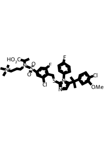 COc1cc(C(C)(C)c2cnc(SCc3c(F)cc(S(=O)(=O)N(CCC[N+](C)(C)C)C(C)C(=O)O)cc3Cl)n2-c2ccc(F)cc2)ccc1Cl